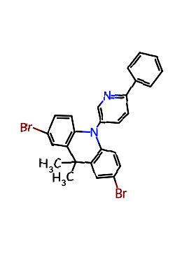 CC1(C)c2cc(Br)ccc2N(c2ccc(-c3ccccc3)nc2)c2ccc(Br)cc21